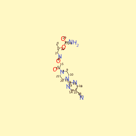 CC(C=NOCC(=O)N1CCN(c2ncc(C#N)cn2)CC1)OC(N)=O